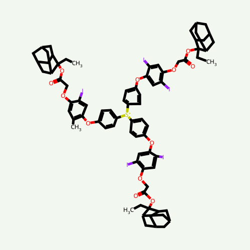 CCC1(OC(=O)COc2cc(C)c(Oc3ccc([S+](c4ccc(Oc5cc(I)c(OCC(=O)OC6(CC)C7CC8CC(C7)CC6C8)cc5I)cc4)c4ccc(Oc5cc(I)c(OCC(=O)OC6(CC)C7CC8CC(C7)CC6C8)cc5I)cc4)cc3)cc2I)C2CC3CC(C2)CC1C3